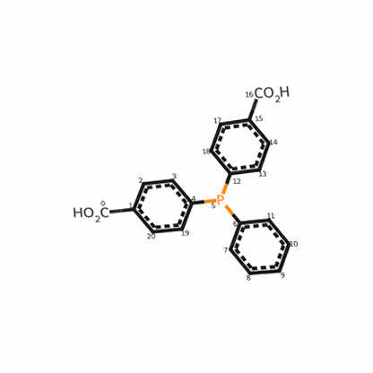 O=C(O)c1ccc(P(c2ccccc2)c2ccc(C(=O)O)cc2)cc1